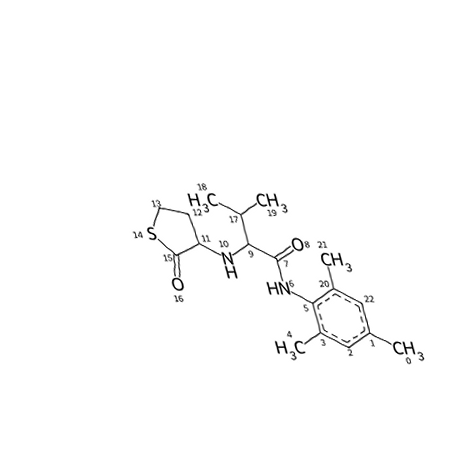 Cc1cc(C)c(NC(=O)C(NC2CCSC2=O)C(C)C)c(C)c1